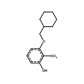 Cc1c(O)cccc1OCC1CCCCC1